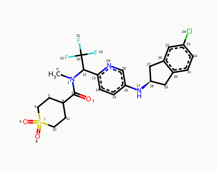 CN(C(=O)C1CCS(=O)(=O)CC1)C(c1ccc(N[C@@H]2Cc3ccc(Cl)cc3C2)cn1)C(F)(F)F